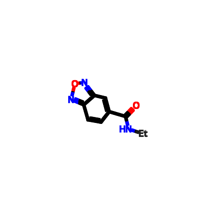 CCNC(=O)c1ccc2nonc2c1